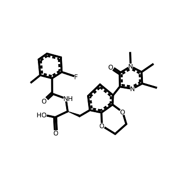 Cc1cccc(F)c1C(=O)N[C@@H](Cc1ccc(-c2nc(C)c(C)n(C)c2=O)c2c1OCCO2)C(=O)O